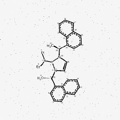 CCN(CC)P1N([C@@H](C)c2cccc3ccccc23)C=CN1[C@@H](C)c1cccc2ccccc12